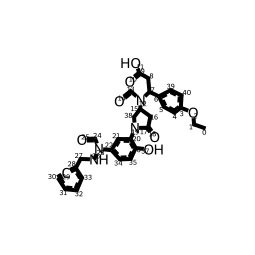 CCOc1ccc(C(CC(=O)O)N(C=O)C2CC(=O)N(c3cc(N(C=O)NCc4ccccc4)ccc3O)C2)cc1